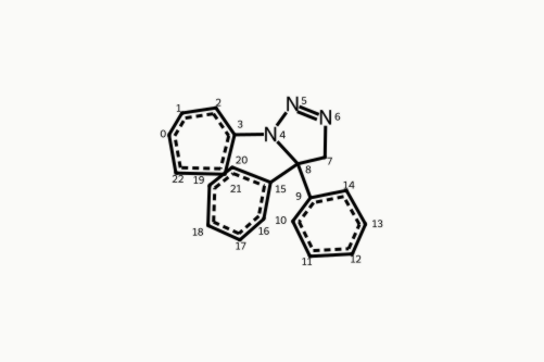 c1ccc(N2N=NCC2(c2ccccc2)c2ccccc2)cc1